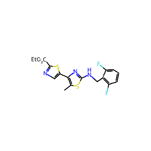 CCOC(=O)c1ncc(-c2nc(NCc3c(F)cccc3F)sc2C)s1